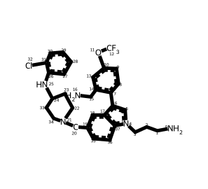 NCCCn1cc(-c2ccc(OC(F)(F)F)cc2CN)c2cc(CN3CCC(Nc4ccccc4Cl)CC3)ccc21